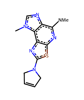 CNc1nc2sc(N3CC=CC3)nc2c2c1ncn2C